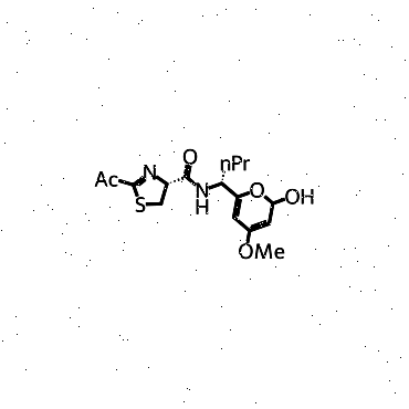 CCC[C@@H](NC(=O)[C@@H]1CSC(C(C)=O)=N1)C1=CC(OC)=CC(O)O1